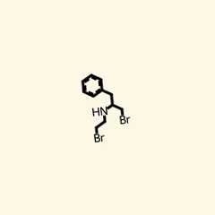 BrCCNC(CBr)Cc1ccccc1